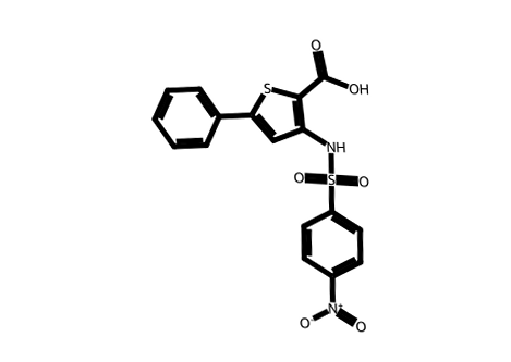 O=C(O)c1sc(-c2ccccc2)cc1NS(=O)(=O)c1ccc([N+](=O)[O-])cc1